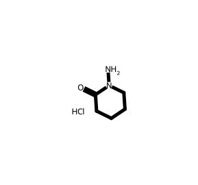 Cl.NN1CCCCC1=O